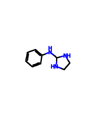 c1ccc(NC2NCCN2)cc1